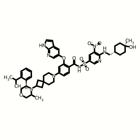 CC(C)c1ccccc1[C@@H]1COCC(C)N1C1CC2(CCN(c3ccc(C(=O)NS(=O)(=O)c4cnc(NC[C@H]5CC[C@](C)(O)CC5)c([N+](=O)[O-])c4)c(Oc4cnc5[nH]ccc5c4)c3)CC2)C1